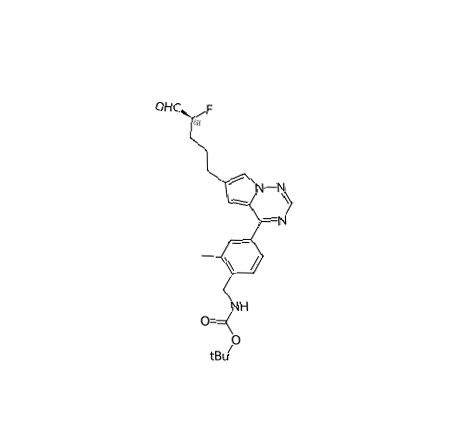 Cc1cc(-c2ncnn3cc(CCC[C@H](F)C=O)cc23)ccc1CNC(=O)OC(C)(C)C